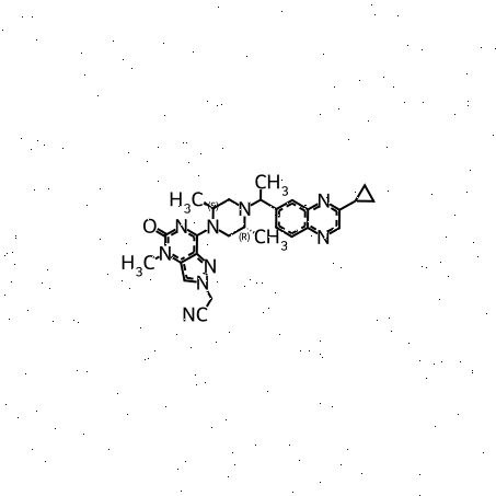 CC(c1ccc2ncc(C3CC3)nc2c1)N1C[C@H](C)N(c2nc(=O)n(C)c3cn(CC#N)nc23)C[C@H]1C